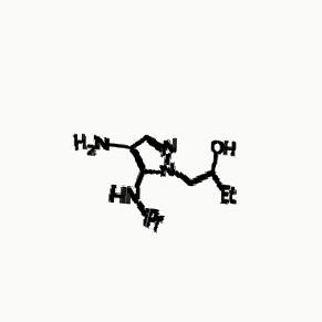 CCC(O)Cn1ncc(N)c1NC(C)C